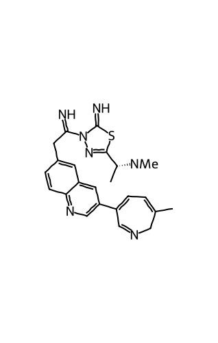 CN[C@H](C)c1nn(C(=N)Cc2ccc3ncc(C4=CC=C(C)CN=C4)cc3c2)c(=N)s1